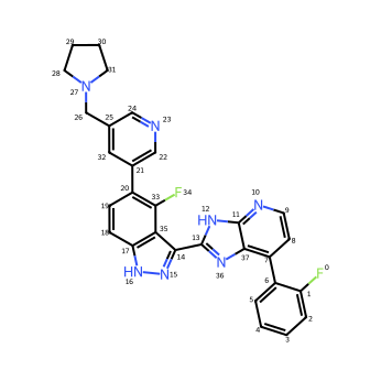 Fc1ccccc1-c1ccnc2[nH]c(-c3n[nH]c4ccc(-c5cncc(CN6CCCC6)c5)c(F)c34)nc12